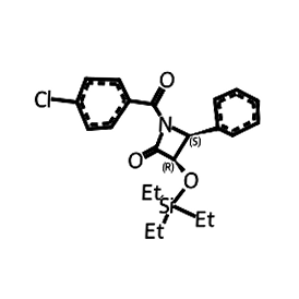 CC[Si](CC)(CC)O[C@H]1C(=O)N(C(=O)c2ccc(Cl)cc2)[C@H]1c1ccccc1